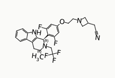 C[C@@H]1Cc2c([nH]c3ccccc23)[C@@H](c2c(F)cc(OCCN3CC(CC#N)C3)cc2F)N1CC(F)(F)F